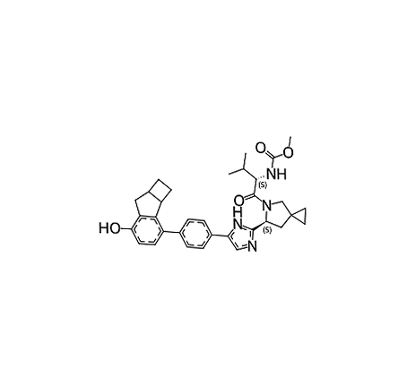 COC(=O)N[C@H](C(=O)N1CC2(CC2)C[C@H]1c1ncc(-c2ccc(-c3ccc(O)c4c3C3CCC3C4)cc2)[nH]1)C(C)C